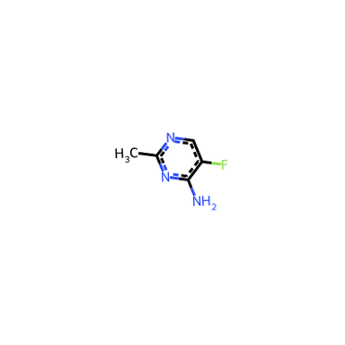 Cc1ncc(F)c(N)n1